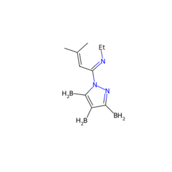 Bc1nn(/C(C=C(C)C)=N/CC)c(B)c1B